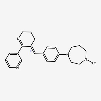 CCN1CCCN(c2ccc(/C=C3\CCCN=C3c3cccnc3)cc2)CC1